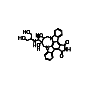 O=C1NC(=O)c2c1c1c3ccccc3n3c1c1c2c2ccccc2n1CC(O)(C(=O)NC(CO)CO)C(O)C3